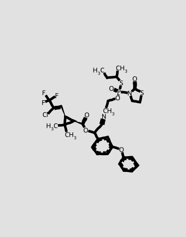 CC1(C)[C@H](C(=O)OC(C#N)c2cccc(Oc3ccccc3)c2)[C@@H]1/C=C(\Cl)C(F)(F)F.CCOP(=O)(SC(C)CC)N1CCSC1=O